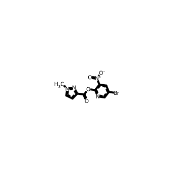 Cn1ccc(C(=O)Oc2ncc(Br)cc2[N+](=O)[O-])n1